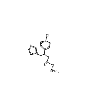 CCCCCOC(=S)SC(Cn1ccnc1)c1ccc(Cl)cc1